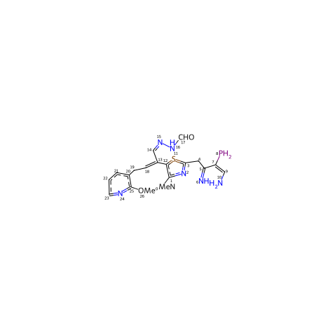 CNc1nc(CC(=N)/C(P)=C\N)sc1C(/C=N\NC=O)=C/Cc1cccnc1OC